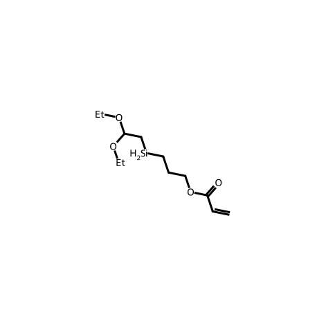 C=CC(=O)OCCC[SiH2]CC(OCC)OCC